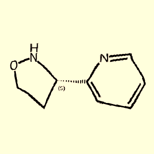 c1ccc([C@@H]2CCON2)nc1